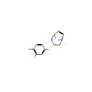 Clc1ccc(O[C@@H]2C[C@H]3C=C[C@@H](C2)N3)cc1Br